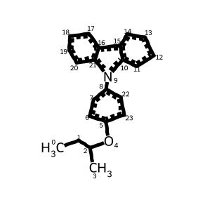 CCC(C)Oc1ccc(-n2c3ccccc3c3ccccc32)cc1